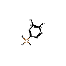 Cc1ccc(S(C)(C)C)cc1C